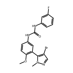 COc1ccc(NC(=O)Nc2cccc(F)c2)cc1-c1c(Br)cnn1C